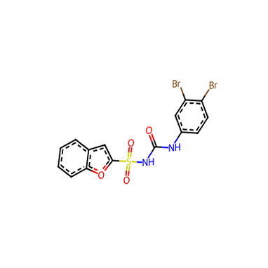 O=C(Nc1ccc(Br)c(Br)c1)NS(=O)(=O)c1cc2ccccc2o1